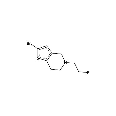 FCCN1CCc2sc(Br)cc2C1